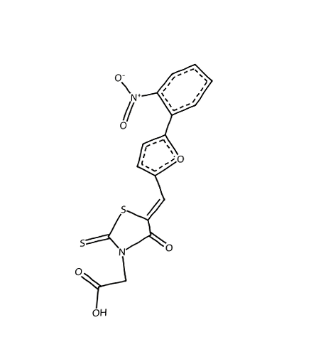 O=C(O)CN1C(=O)C(=Cc2ccc(-c3ccccc3[N+](=O)[O-])o2)SC1=S